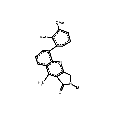 CCN1Cc2nc3c(-c4cccc(OC)c4OC)cccc3c(N)c2C1=O